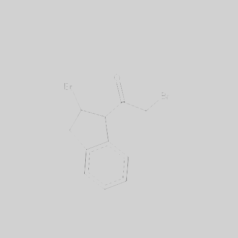 CCC1Cc2ccccc2C1C(=O)CBr